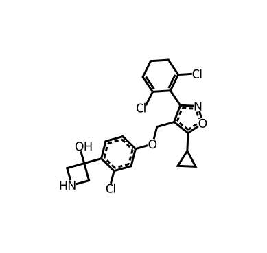 OC1(c2ccc(OCc3c(C4=C(Cl)CCC=C4Cl)noc3C3CC3)cc2Cl)CNC1